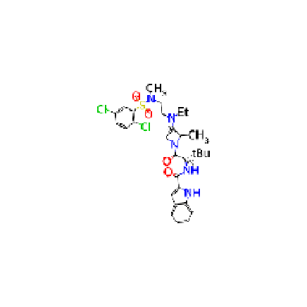 CCN(CCN(C)S(=O)(=O)c1cc(Cl)ccc1Cl)[C@@H]1CN(C(=O)[C@@H](NC(=O)c2cc3ccccc3[nH]2)C(C)(C)C)C1C